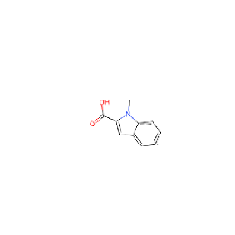 Cn1c(C(=O)O)cc2c[c]ccc21